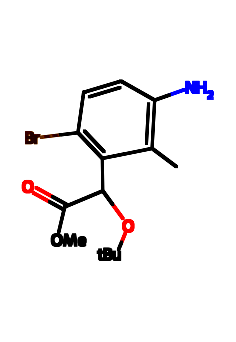 COC(=O)C(OC(C)(C)C)c1c(Br)ccc(N)c1C